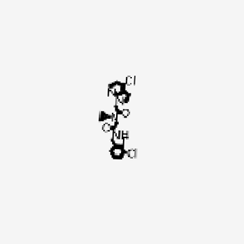 O=C(CN(C(=O)Cn1ccc2c(Cl)ccnc21)C1CC1)NCc1cccc(Cl)c1F